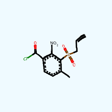 C=CCS(=O)(=O)c1c(C)ccc(C(=O)Cl)c1[N+](=O)[O-]